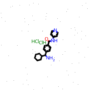 Cl.Cl.NC(c1ccc(C(=O)Nc2ccncc2)cc1)C1CCCCC1